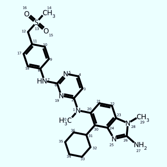 CN(c1ccnc(Nc2ccc(CS(C)(=O)=O)cc2)n1)c1ccc2c(nc(N)n2C)c1C1CCCCC1